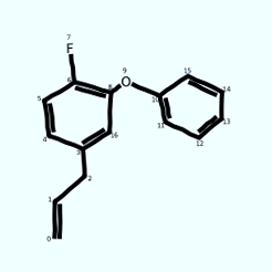 C=CCc1ccc(F)c(Oc2ccccc2)c1